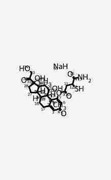 C[C@@]12C(=CC(=O)C=C1OC(=O)CC(S)C(N)=O)CC[C@@H]1[C@@H]2[C@@H](O)C[C@@]2(C)[C@H]1CC[C@]2(O)C(=O)CO.[NaH]